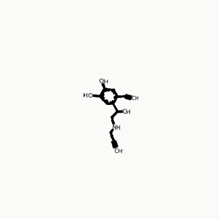 C#CCNCC(O)c1cc(O)c(O)cc1C#C